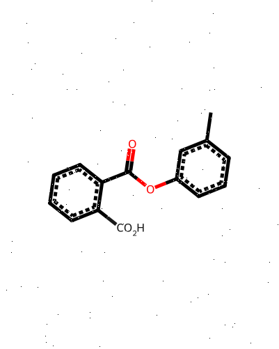 Cc1cccc(OC(=O)c2ccccc2C(=O)O)c1